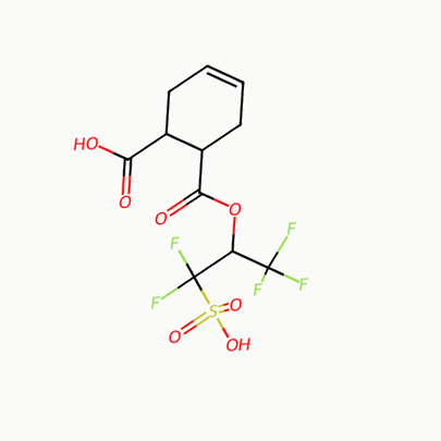 O=C(O)C1CC=CCC1C(=O)OC(C(F)(F)F)C(F)(F)S(=O)(=O)O